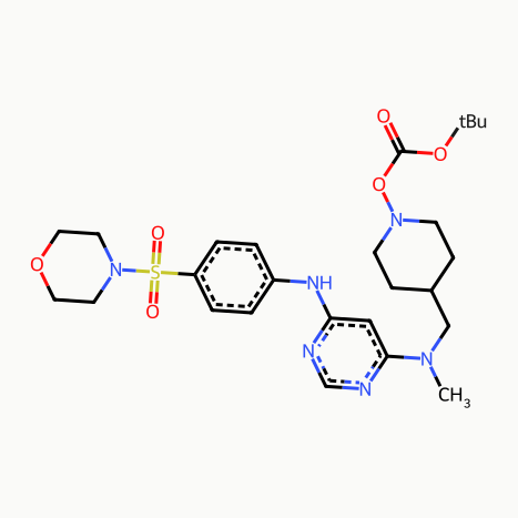 CN(CC1CCN(OC(=O)OC(C)(C)C)CC1)c1cc(Nc2ccc(S(=O)(=O)N3CCOCC3)cc2)ncn1